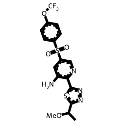 COC(C)c1nnc(-c2ncc(S(=O)(=O)c3ccc(OC(F)(F)F)cc3)cc2N)s1